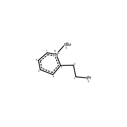 CC(C)CCc1cccc[n+]1C(C)(C)C